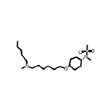 CCCCCN(C)CCCCCCO[C@H]1CC[C@H](N(C)S(C)(=O)=O)CC1